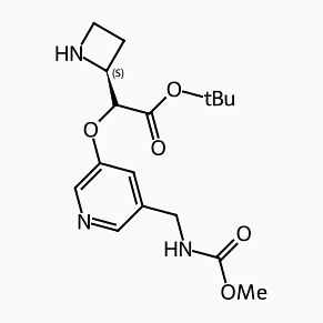 COC(=O)NCc1cncc(OC(C(=O)OC(C)(C)C)[C@@H]2CCN2)c1